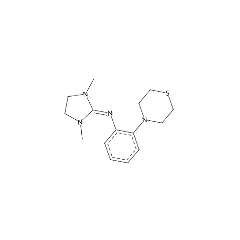 CN1CCN(C)C1=Nc1ccccc1N1CCSCC1